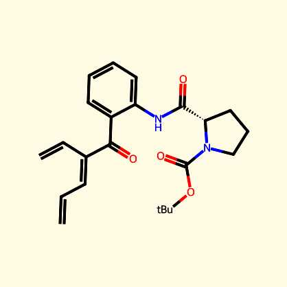 C=C/C=C(\C=C)C(=O)c1ccccc1NC(=O)[C@@H]1CCCN1C(=O)OC(C)(C)C